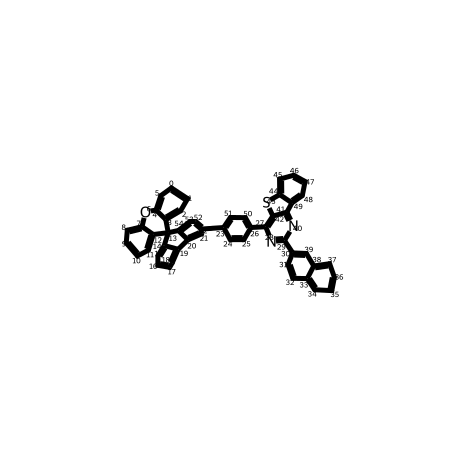 c1ccc2c(c1)Oc1ccccc1C21c2ccccc2-c2cc(-c3ccc(-c4nc(-c5ccc6ccccc6c5)nc5c4sc4ccccc45)cc3)ccc21